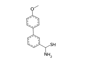 COc1ccc(-c2cccc(C(N)S)c2)cc1